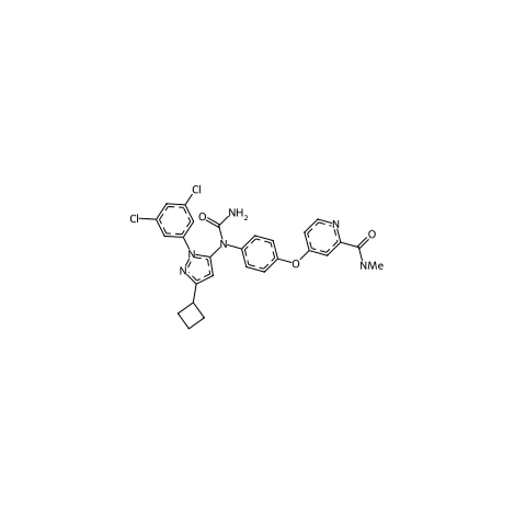 CNC(=O)c1cc(Oc2ccc(N(C(N)=O)c3cc(C4CCC4)nn3-c3cc(Cl)cc(Cl)c3)cc2)ccn1